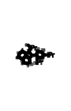 CC=C1c2cccc3cccc(c23)C1c1c(C(C)C)cc(C(C)C)cc1C(C)C